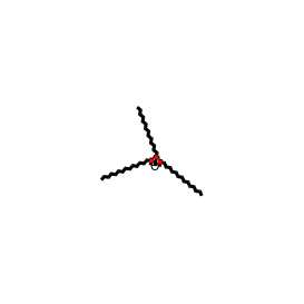 CCCCCCCCCCCCCCC(C)(C)[Si]([O])(C(C)(C)CCCCCCCCCCCCCC)C(C)(C)CCCCCCCCCCCCCC